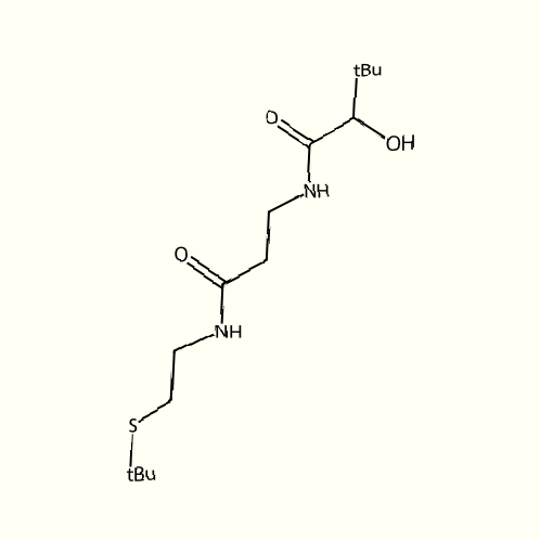 CC(C)(C)SCCNC(=O)CCNC(=O)C(O)C(C)(C)C